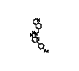 CC(=O)c1ccc(-c2ccc3nnn(Cc4ccc5ncccc5c4)c3n2)cc1